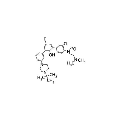 CN(C)CCN(C=O)c1ccc(-c2cc(F)cc(-c3cccc(N4CCN(C(C)(C)C)CC4)c3)c2O)cc1Cl